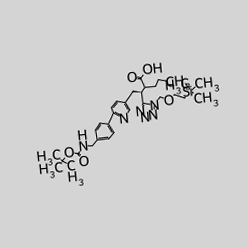 CCCC(C(=O)O)[C@H](Cc1ccc(-c2ccc(CNC(=O)OC(C)(C)C)cc2)nc1)c1nnnn1COCC[Si](C)(C)C